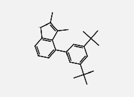 CC1=C(C)c2c(cccc2-c2cc(C(C)(C)C)cc(C(C)(C)C)c2)[CH]1